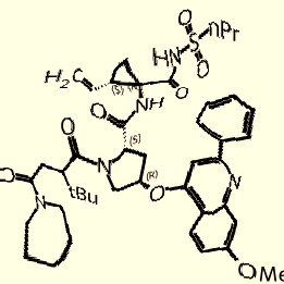 C=C[C@@H]1C[C@]1(NC(=O)[C@@H]1C[C@@H](Oc2cc(-c3ccccc3)nc3cc(OC)ccc23)CN1C(=O)C(CC(=O)N1CCCCC1)C(C)(C)C)C(=O)NS(=O)(=O)CCC